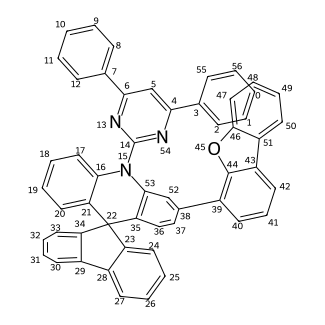 c1ccc(-c2cc(-c3ccccc3)nc(N3c4ccccc4C4(c5ccccc5-c5ccccc54)c4ccc(-c5cccc6c5oc5ccccc56)cc43)n2)cc1